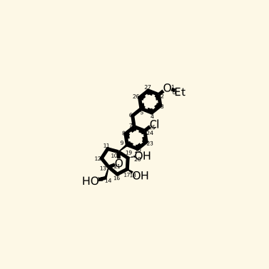 CCOc1ccc(Cc2cc([C@@]34CC[C@@](CO)(C[C@H](O)[C@H]3O)O4)ccc2Cl)cc1